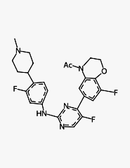 CC(=O)N1CCOc2c(F)cc(-c3nc(Nc4ccc(C5CCN(C)CC5)c(F)c4)ncc3F)cc21